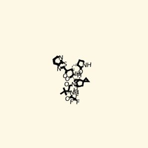 CC(C)(C)[C@H](NC(=O)C(F)(F)F)C(=O)N1[C@H]2C[C@@H]([C@H]1C(=O)N[C@@H](C[C@@H]1CCNC1=O)C(=O)c1nc3cccnc3s1)C1(CC1)C2